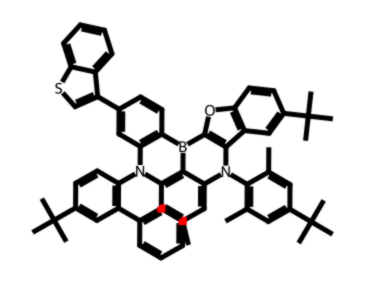 Cc1cc2c3c(c1)N(c1c(C)cc(C(C)(C)C)cc1C)c1c(oc4ccc(C(C)(C)C)cc14)B3c1ccc(-c3csc4ccccc34)cc1N2c1ccc(C(C)(C)C)cc1-c1ccccc1